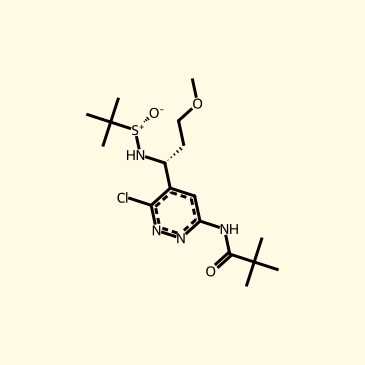 COCC[C@@H](N[S@@+]([O-])C(C)(C)C)c1cc(NC(=O)C(C)(C)C)nnc1Cl